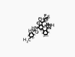 Cc1ccc(NC(=O)Nc2cc(-c3ccccc3-c3nn[nH]n3)cc3c2O[C@@H](C)C3CCC(F)(F)F)cc1